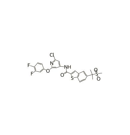 CC(C)(c1ccc2sc(C(=O)Nc3cc(Cl)nc(Oc4ccc(F)c(F)c4)c3)cc2c1)S(C)(=O)=O